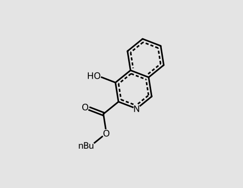 CCCCOC(=O)c1ncc2ccccc2c1O